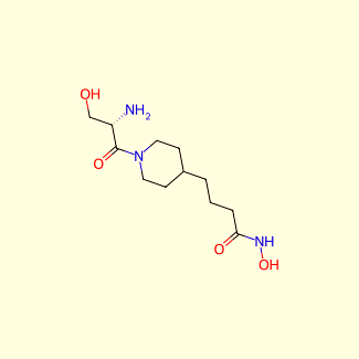 N[C@@H](CO)C(=O)N1CCC(CCCC(=O)NO)CC1